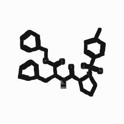 Cc1ccc(S(=O)(=O)N2CCC[C@H]2C(=O)N[C@@H](Cc2ccccc2)C(=O)OCc2ccccc2)cc1